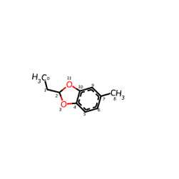 CCC1Oc2ccc(C)cc2O1